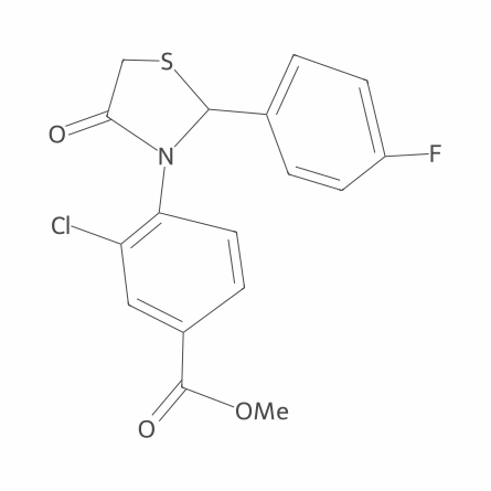 COC(=O)c1ccc(N2C(=O)CSC2c2ccc(F)cc2)c(Cl)c1